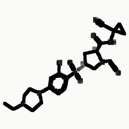 CCN1CCN(c2ccc(S(=O)(=O)[C@@H]3C[C@@H](C(=O)NC4(C#N)CC4)N(C=O)C3)c(Cl)c2)CC1